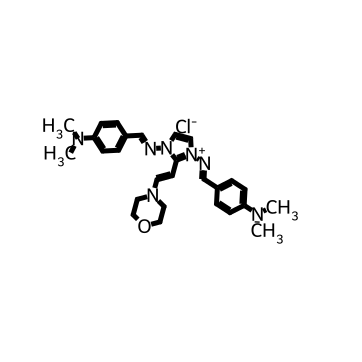 CN(C)c1ccc(C=Nn2cc[n+](N=Cc3ccc(N(C)C)cc3)c2C=CN2CCOCC2)cc1.[Cl-]